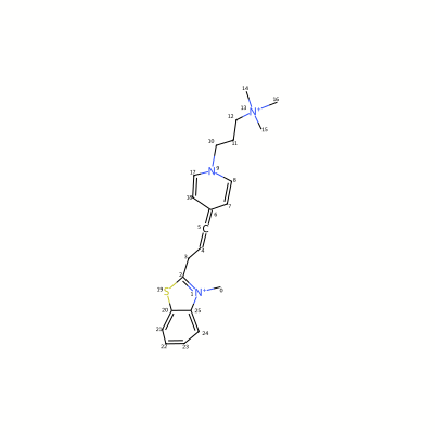 C[n+]1c(CC=C=C2C=CN(CCC[N+](C)(C)C)C=C2)sc2ccccc21